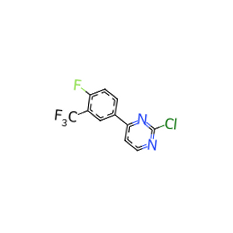 Fc1ccc(-c2ccnc(Cl)n2)cc1C(F)(F)F